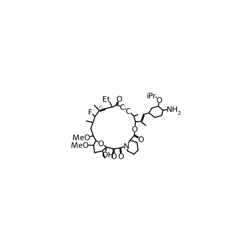 CCC1/C=C(\C)C(F)C(C)CC(OC)C2OC(O)(C(=O)C(=O)N3CCCCC3C(=O)OC(C(C)=CC3CCC(N)C(OC(C)C)C3)C(C)CCC1=O)C(C)CC2OC